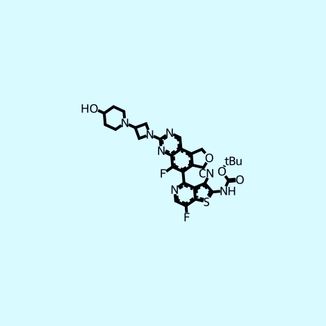 CC(C)(C)OC(=O)Nc1sc2c(F)cnc(-c3c4c(c5cnc(N6CC(N7CCC(O)CC7)C6)nc5c3F)COC4)c2c1C#N